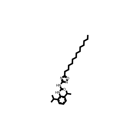 CCCCCCCCCCCCCc1nc(NC(=O)Nc2c(C(C)C)cccc2C(C)C)no1